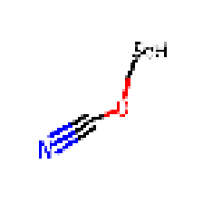 N#CO[SeH]